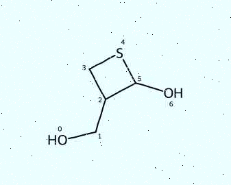 OCC1CSC1O